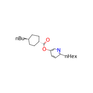 CCCCCCc1ccc(OC(=O)[C@H]2CC[C@H](CCCC)CC2)cn1